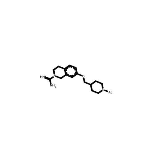 CC(=O)N1CCC(COc2ccc3c(c2)CN(C(=N)N)CC3)CC1